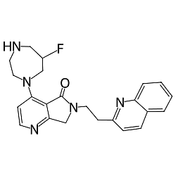 O=C1c2c(N3CCNCC(F)C3)ccnc2CN1CCc1ccc2ccccc2n1